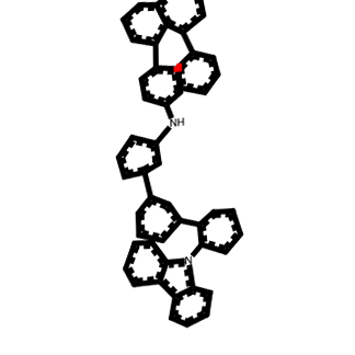 c1ccc(-c2cccc3cccc(-c4ccc(Nc5cccc(-c6cccc(-c7ccccc7-n7c8ccccc8c8ccccc87)c6)c5)cc4)c23)cc1